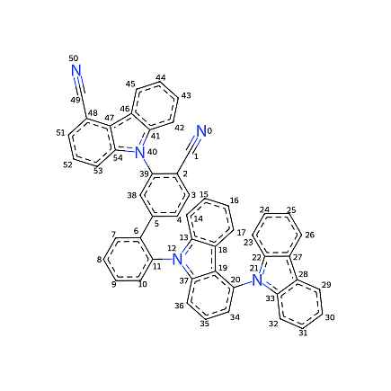 N#Cc1ccc(-c2ccccc2-n2c3ccccc3c3c(-n4c5ccccc5c5ccccc54)cccc32)cc1-n1c2ccccc2c2c(C#N)cccc21